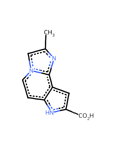 Cc1cn2ccc3[nH]c(C(=O)O)cc3c2n1